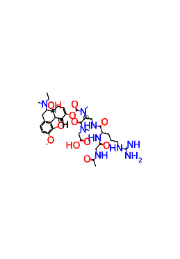 CCN(C)C1Cc2ccc(OC)c3c2C2[C@@H](O3)C(OC(=O)N(C)[C@@H](CNC(=O)C(CCCNC(=N)N)NC(=O)CNC(C)=O)C(=O)N(C)CC(=O)O)=CC[C@]21O